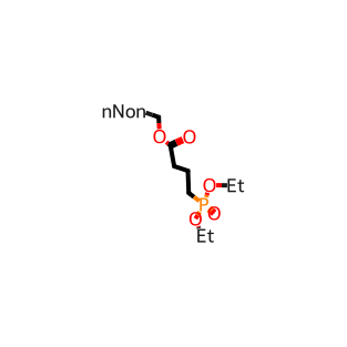 CCCCCCCCCCOC(=O)CCCP(=O)(OCC)OCC